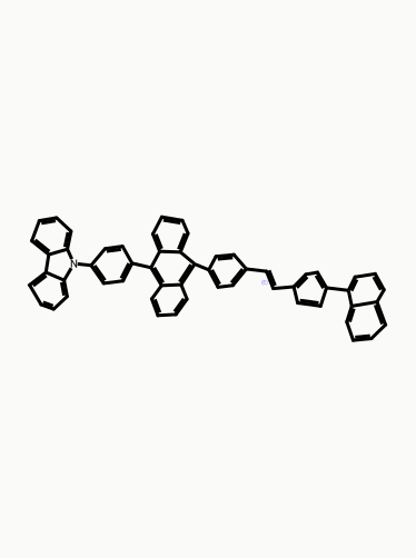 C(=C\c1ccc(-c2c3ccccc3c(-c3ccc(-n4c5ccccc5c5ccccc54)cc3)c3ccccc23)cc1)/c1ccc(-c2cccc3ccccc23)cc1